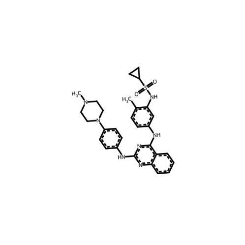 Cc1ccc(Nc2nc(Nc3ccc(N4CCN(C)CC4)cc3)nc3ccccc23)cc1NS(=O)(=O)C1CC1